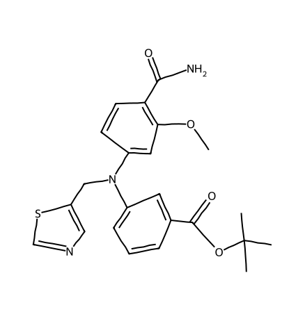 COc1cc(N(Cc2cncs2)c2cccc(C(=O)OC(C)(C)C)c2)ccc1C(N)=O